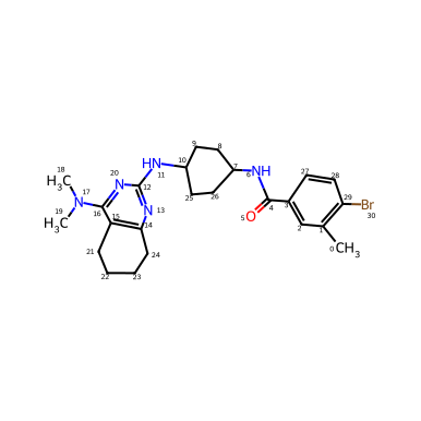 Cc1cc(C(=O)NC2CCC(Nc3nc4c(c(N(C)C)n3)CCCC4)CC2)ccc1Br